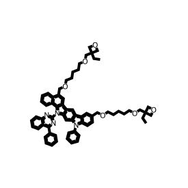 CCC1(COCCCCCOCc2ccc3c(c2)c2cc4c5cc(COCCCCCOCC6(CC)COC6)c6ccccc6c5n(-c5nc(-c6ccccc6)c6ccccc6n5)c4cc2n3-c2ccccc2)COC1